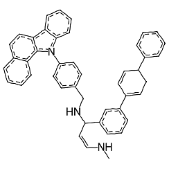 CN/C=C\C(NCc1ccc(-n2c3ccccc3c3ccc4ccccc4c32)cc1)c1cccc(C2=CCC(c3ccccc3)C=C2)c1